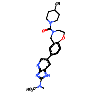 CN(C(=O)O)c1nc2ncc(-c3ccc4c(c3)CN(C(=O)N3CCC(C#N)CC3)CCO4)cc2[nH]1